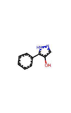 Oc1[c]n[nH]c1-c1ccccc1